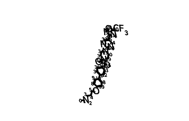 CN(C)CCCOc1ccc(-c2ccc(S(=O)(=O)N3CCN(c4ncc(-c5noc(C(F)(F)F)n5)cn4)CC3)cc2)cc1